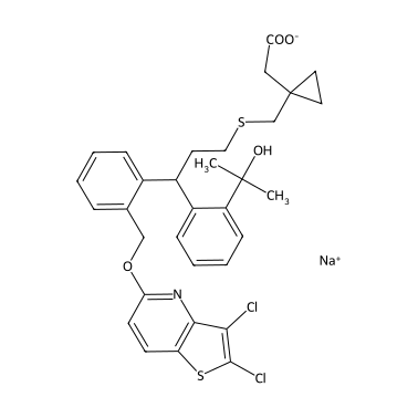 CC(C)(O)c1ccccc1C(CCSCC1(CC(=O)[O-])CC1)c1ccccc1COc1ccc2sc(Cl)c(Cl)c2n1.[Na+]